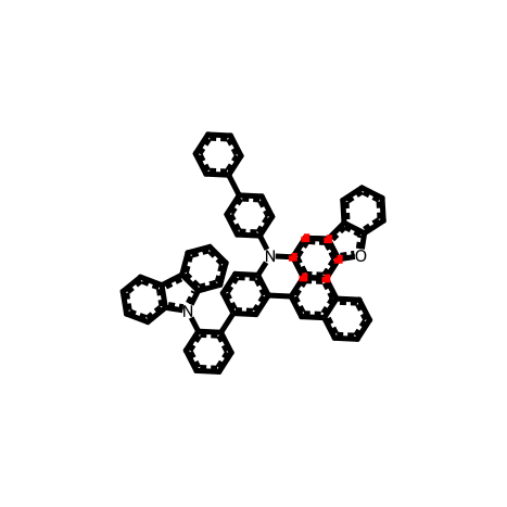 c1ccc(-c2ccc(N(c3ccc4oc5ccccc5c4c3)c3ccc(-c4ccccc4-n4c5ccccc5c5ccccc54)cc3-c3cc4ccccc4c4ccccc34)cc2)cc1